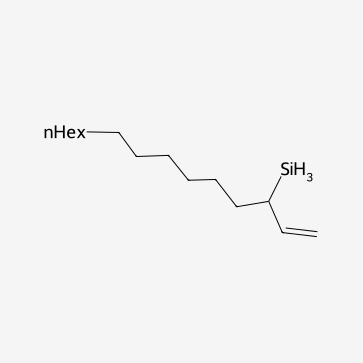 C=CC([SiH3])CCCCCCCCCCCC